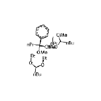 CCCC.CCCC(OC)(OC)c1ccccc1.CCCCC(OC)OC.CCCCC(OCC)OCC